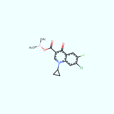 CC(=O)OB(OC(C)=O)OC(=O)c1cn(C2CC2)c2cc(Cl)c(F)cc2c1=O